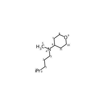 CC(C)CCCN(C)C1CCOCC1